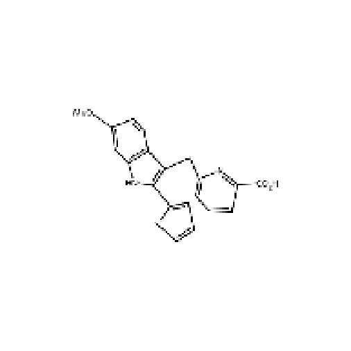 COc1ccc2c(Cc3cccc(C(=O)O)n3)c(-c3cccs3)[nH]c2c1